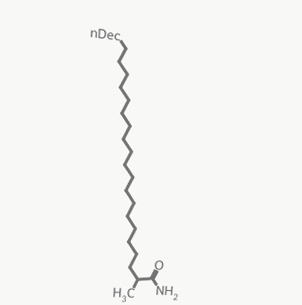 CCCCCCCCCCCCCCCCCCCCCCCCCCCCC(C)C(N)=O